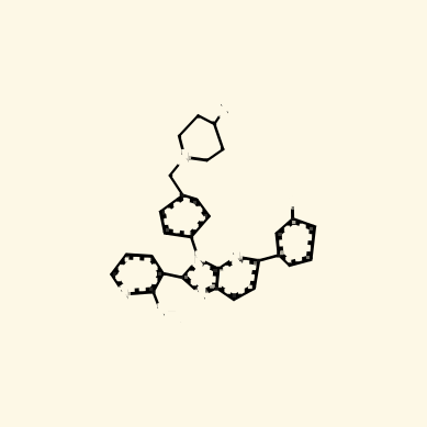 Nc1ncccc1-c1nc2ccc(-c3cccc(Cl)c3)nc2n1-c1ccc(CN2CCC(N)CC2)cc1